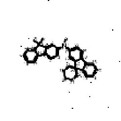 CN(c1ccc2c(c1)C(C)(C)c1ccccc1-2)c1ccc2c(c1)C1(CCCCC1)c1ccccc1-2